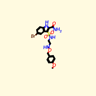 COc1ccc(CONCCNS(=O)(=O)c2c(C(N)=O)[nH]c3ccc(Br)cc23)cc1